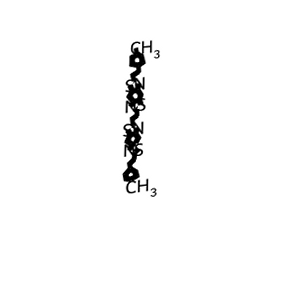 Cc1ccc(/C=C/c2nc3cc4sc(/C=C/c5nc6cc7sc(/C=C/c8ccc(C)cc8)nc7cc6s5)nc4cc3s2)cc1